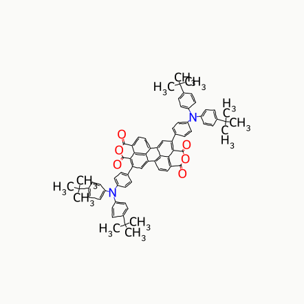 CC(C)(C)c1ccc(N(c2ccc(-c3cc4c5ccc6c7c(c(-c8ccc(N(c9ccc(C(C)(C)C)cc9)c9ccc(C(C)(C)C)cc9)cc8)cc(c8ccc9c(c3C(=O)OC9=O)c84)c75)C(=O)OC6=O)cc2)c2ccc(C(C)(C)C)cc2)cc1